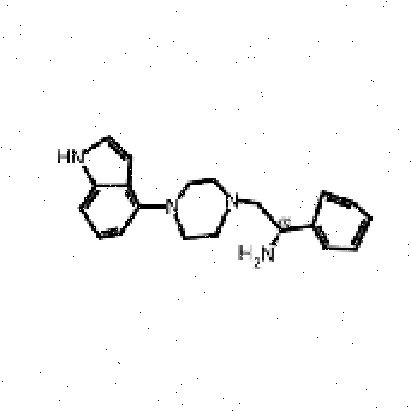 N[C@@H](CN1CCN(c2cccc3[nH]ccc23)CC1)c1ccccc1